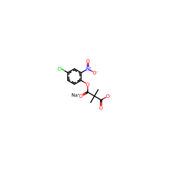 CC(C)(C(=O)[O-])C(=O)Oc1ccc(Cl)cc1[N+](=O)[O-].[Na+]